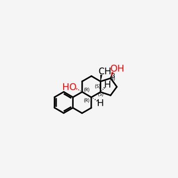 C[C@]12CC[C@]3(O)c4ccccc4CC[C@@H]3[C@@H]1CC[C@@H]2O